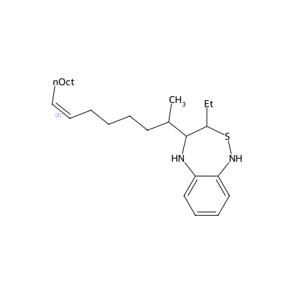 CCCCCCCC/C=C\CCCCC(C)C1Nc2ccccc2NSC1CC